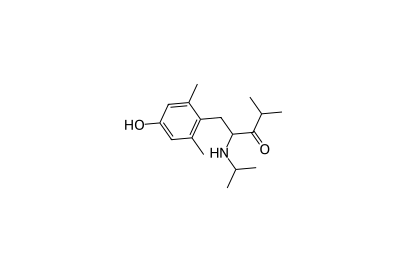 Cc1cc(O)cc(C)c1CC(NC(C)C)C(=O)C(C)C